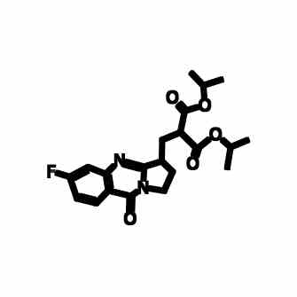 CC(C)OC(=O)C(CC1CCn2c1nc1cc(F)ccc1c2=O)C(=O)OC(C)C